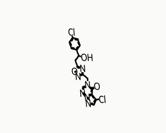 O=c1c2c(Cl)cnn2ncn1Cc1noc(CC(O)c2ccc(Cl)cc2)n1